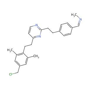 C/N=C\c1ccc(CCc2nccc(CCc3c(C)cc(CCl)cc3C)n2)cc1